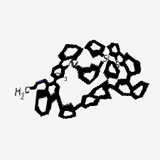 C=C/C=C\c1c(C)cc(-c2cccc(-c3ccc4cc(-c5cc(-c6cccc7c6sc6c([Si](c8ccccc8)(c8ccccc8)c8cccc(-n9c%10ccccc%10c%10ccccc%109)c8)cccc67)c6ccccc6c5)ccc4c3)c2)c2ccccc12